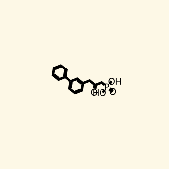 O=C(Cc1cccc(-c2ccccc2)c1)CP(=O)(O)O